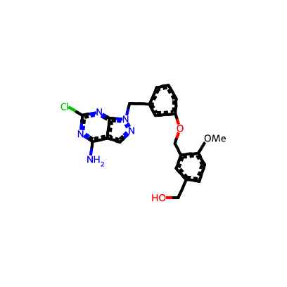 COc1ccc(CO)cc1COc1cccc(Cn2ncc3c(N)nc(Cl)nc32)c1